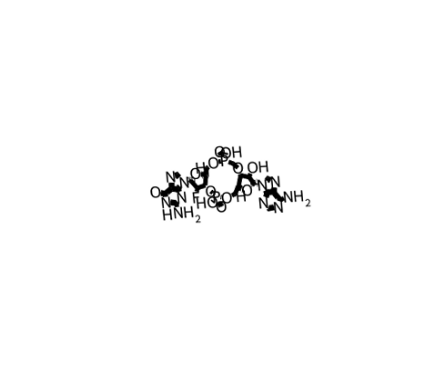 Nc1nc2c(ncn2[C@@H]2O[C@@H]3COP(=O)(O)COC4C(O)[C@H](n5cnc6c(N)ncnc65)O[C@@H]4COP(=O)(O)OC3C2F)c(=O)[nH]1